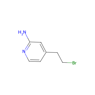 Nc1cc(CCBr)ccn1